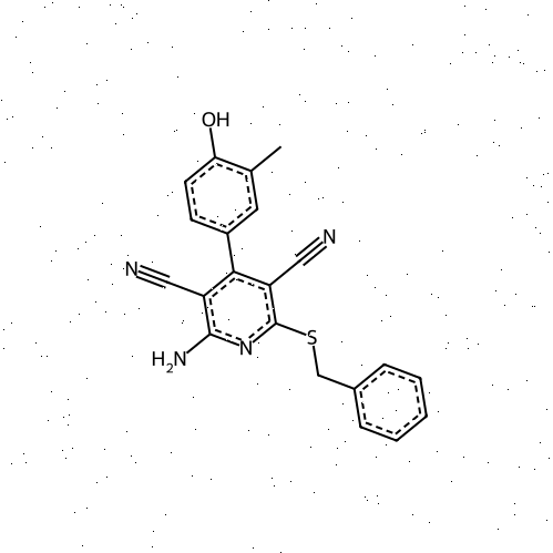 Cc1cc(-c2c(C#N)c(N)nc(SCc3ccccc3)c2C#N)ccc1O